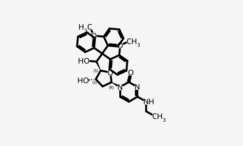 CCNc1ccn([C@H]2C[C@H](O)[C@@H](C(O)C(c3ccccc3)(c3ccccc3OC)c3ccccc3OC)O2)c(=O)n1